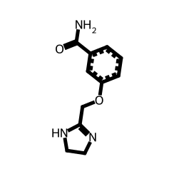 NC(=O)c1cccc(OCC2=NCCN2)c1